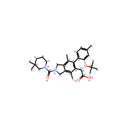 Cc1ccc(-c2c(C)c3c(c(C)c2[C@H](OC(C)(C)C)C(=O)O)CN(C(=O)N2CCCC(C)(C)C2)C3)cc1